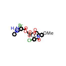 CCN(Cc1cc(C(=O)OCCS(=O)(=O)CCOC(=O)Cc2c(C)n(C(=O)c3ccc(Cl)cc3)c3ccc(OC)cc23)cc(Br)c1N)C1CCCCC1